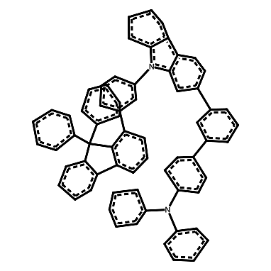 c1ccc(N(c2ccccc2)c2ccc(-c3cccc(-c4ccc5c6ccccc6n(-c6cccc(-c7cccc8c7C(c7ccccc7)(c7ccccc7)c7ccccc7-8)c6)c5c4)c3)cc2)cc1